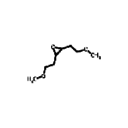 COCCC1OC1CCOC